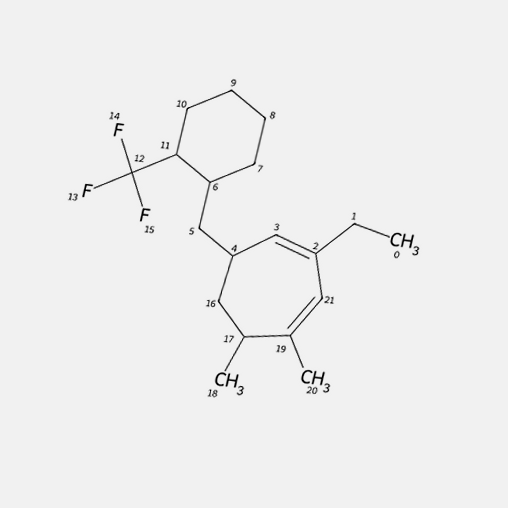 CCC1=CC(CC2CCCCC2C(F)(F)F)CC(C)C(C)=C1